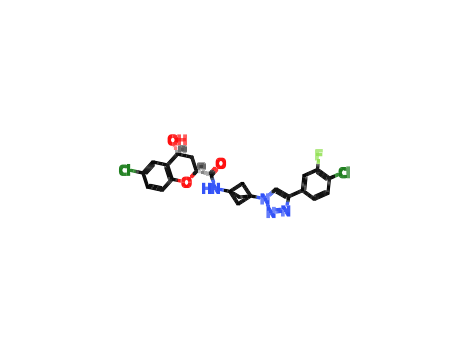 O=C(NC12CC(n3cc(-c4ccc(Cl)c(F)c4)nn3)(C1)C2)[C@H]1C[C@@H](O)c2cc(Cl)ccc2O1